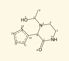 CC(O)N1CCNC(=O)C1c1cccs1